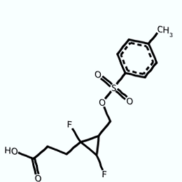 Cc1ccc(S(=O)(=O)OCC2C(F)C2(F)CCC(=O)O)cc1